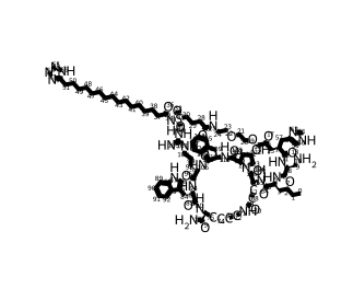 CCCC[C@H](NC(=O)[C@H](CN)NC(=O)[C@@H](CC(=O)COCCOCCNC(=O)CCCS(=O)(=O)NC(=O)CCCCCCCCCCCCCCCc1nnn[nH]1)Cc1c[nH]cn1)C(=O)N[C@H]1CCC(=O)NCCCC[C@@H](C(N)=O)NC(=O)[C@H](Cc2c[nH]c3ccccc23)NC(=O)[C@H](CCCNC(=N)N)NC(=O)[C@@H](Cc2ccccc2)NC(=O)[C@@H]2C[C@@H](O)CN2C1=O